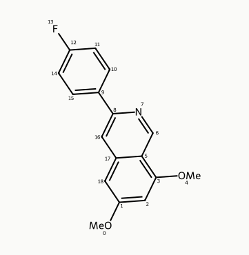 COc1cc(OC)c2cnc(-c3ccc(F)cc3)cc2c1